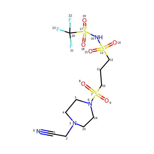 N#CCN1CCN(S(=O)(=O)CCCS(=O)(=O)NS(=O)(=O)C(F)(F)F)CC1